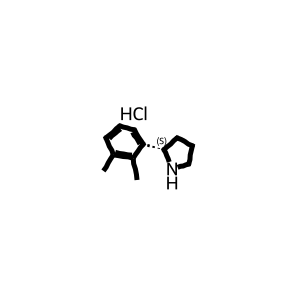 Cc1cccc([C@@H]2CCCN2)c1C.Cl